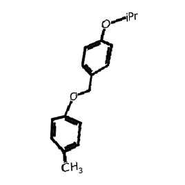 Cc1ccc(OCc2ccc(OC(C)C)cc2)cc1